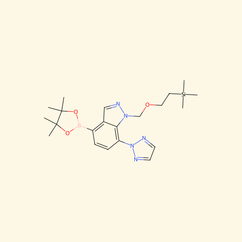 CC1(C)OB(c2ccc(-n3nccn3)c3c2cnn3COCC[Si](C)(C)C)OC1(C)C